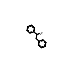 Br[C](Cc1ccccc1)c1ccccc1